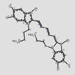 CCN1/C(=C/C=C/C=C/c2n(CC)c3cc(Cl)c(Cl)cc3[n+]2CCCS(=O)(=O)O)N(CCCS(=O)(=O)O)c2cc(Cl)c(Cl)cc21